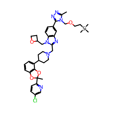 Cc1nnc(-c2ccc3c(c2)nc(CN2CCC(c4cccc5c4OC(C)(c4ccc(Cl)cn4)O5)CC2)n3CC2CCO2)n1COCC[Si](C)(C)C